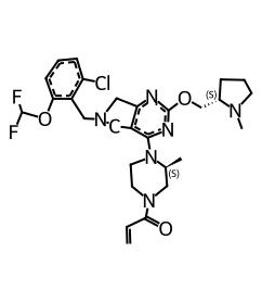 C=CC(=O)N1CCN(c2nc(OC[C@@H]3CCCN3C)nc3c2CN(Cc2c(Cl)cccc2OC(F)F)C3)[C@@H](C)C1